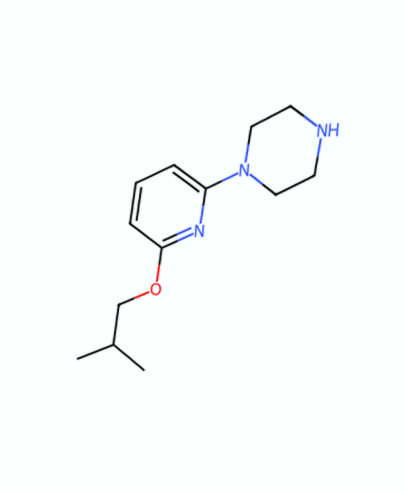 CC(C)COc1cccc(N2CCNCC2)n1